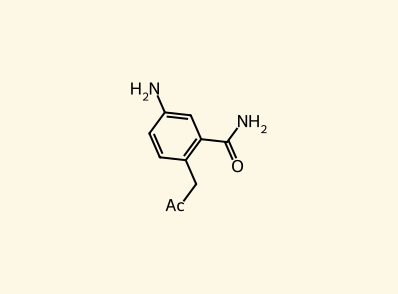 CC(=O)Cc1ccc(N)cc1C(N)=O